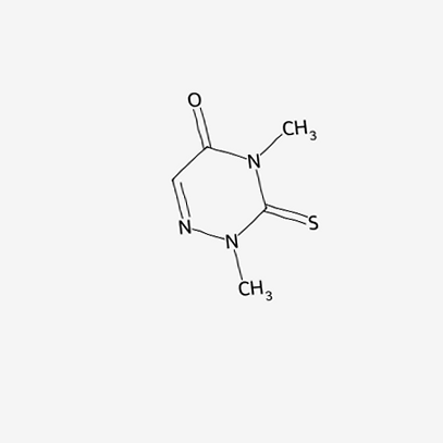 Cn1ncc(=O)n(C)c1=S